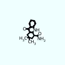 CC1(C)Cc2c([nH]c3ccccc3c2=O)C(C(N)=O)C1